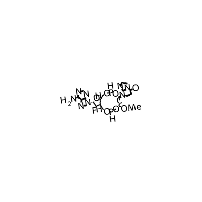 COC1C[C@H](n2ccc(=O)n3ccnc23)OPOC[C@H]2O[C@@H](n3cnc4c(N)ncnc43)[C@@H](F)[C@@H]2COPO1